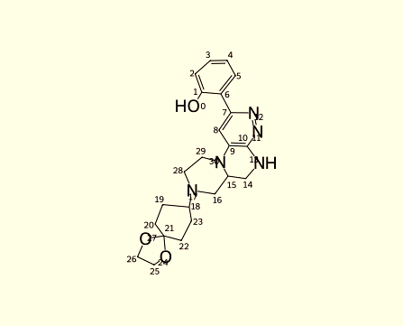 Oc1ccccc1-c1cc2c(nn1)NCC1CN(C3CCC4(CC3)OCCO4)CCN21